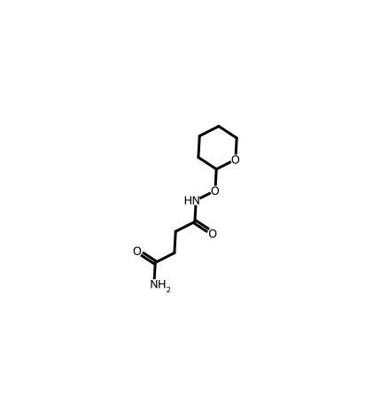 NC(=O)CCC(=O)NOC1CCCCO1